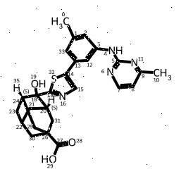 Cc1cc(Nc2nccc(C)n2)cc(-c2cnc(C3(O)[C@H]4CC5C[C@H]3CC(C(=O)O)(C5)C4)s2)c1